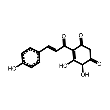 O=C(/C=C/c1ccc(O)cc1)C1=C(O)C(O)C(=O)CC1=O